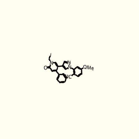 COc1ccc(C#N)c(-n2cc(-c3cn(CI)c(=O)cc3-c3ccccc3)cn2)c1